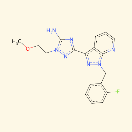 COCCn1nc(-c2nn(Cc3ccccc3F)c3ncccc23)nc1N